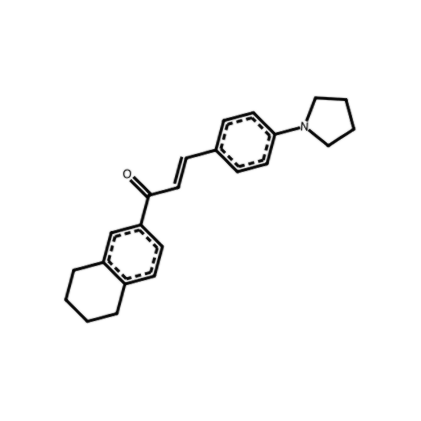 O=C(/C=C/c1ccc(N2CCCC2)cc1)c1ccc2c(c1)CCCC2